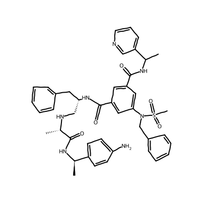 CC(NC(=O)c1cc(C(=O)N[C@H](CN[C@@H](C)C(=O)N[C@H](C)c2ccc(N)cc2)Cc2ccccc2)cc(N(Cc2ccccc2)S(C)(=O)=O)c1)c1cccnc1